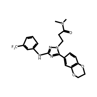 CN(C)C(=O)CCn1nc(Nc2cccc(C(F)(F)F)c2)nc1-c1ccc2c(c1)OCCO2